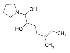 CC=C(C)CCC(O)C(O)N1CCCC1